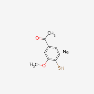 COc1cc(C(C)=O)ccc1S.[Na]